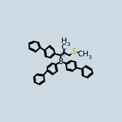 CSC/C(C)=C(\B(c1ccc(-c2ccccc2)cc1)c1ccc(-c2ccccc2)cc1)c1ccc(-c2ccccc2)cc1